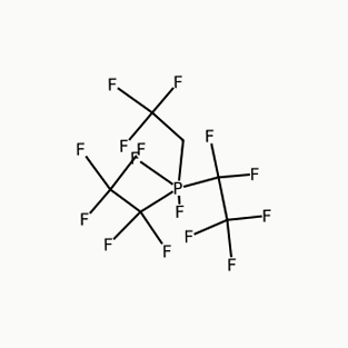 FC(F)(F)CP(F)(F)(C(F)(F)C(F)(F)F)C(F)(F)C(F)(F)F